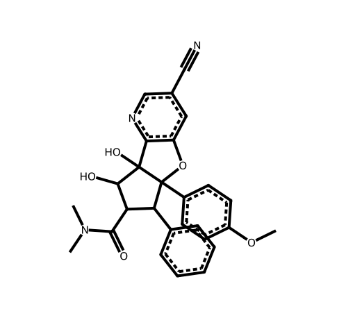 COc1ccc(C23Oc4cc(C#N)cnc4C2(O)C(O)C(C(=O)N(C)C)C3c2ccccc2)cc1